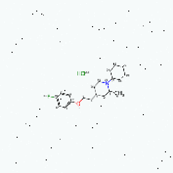 CC1CC(CCOc2ccc(F)cc2)CCN1C1CCCCC1.Cl